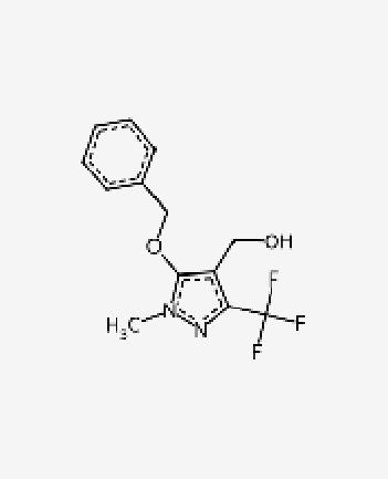 Cn1nc(C(F)(F)F)c(CO)c1OCc1ccccc1